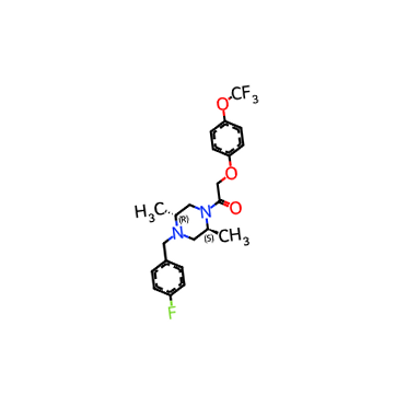 C[C@@H]1CN(C(=O)COc2ccc(OC(F)(F)F)cc2)[C@@H](C)CN1Cc1ccc(F)cc1